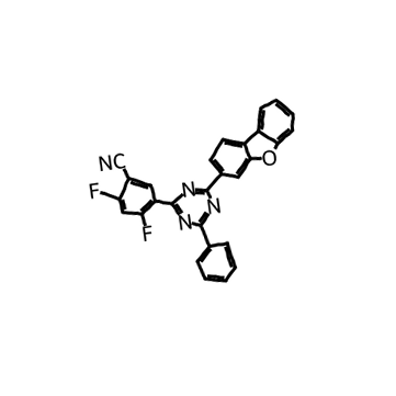 N#Cc1cc(-c2nc(-c3ccccc3)nc(-c3ccc4c(c3)oc3ccccc34)n2)c(F)cc1F